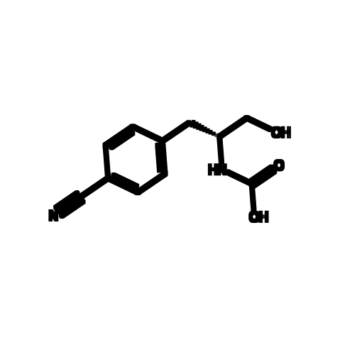 N#Cc1ccc(C[C@H](CO)NC(=O)O)cc1